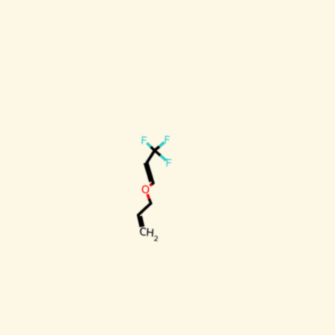 C=CCOC=CC(F)(F)F